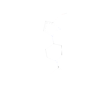 COc1ccn(C2CCN(C(=O)O)CC2)n1